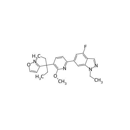 CCn1ncc2c(F)cc(-c3ccc(C(CC)(CC)c4ccon4)c(OC)n3)cc21